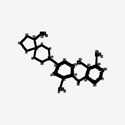 Cc1nc(N2CCC3(CCCC3N)CC2)cnc1Sc1ccnc(N)c1Cl